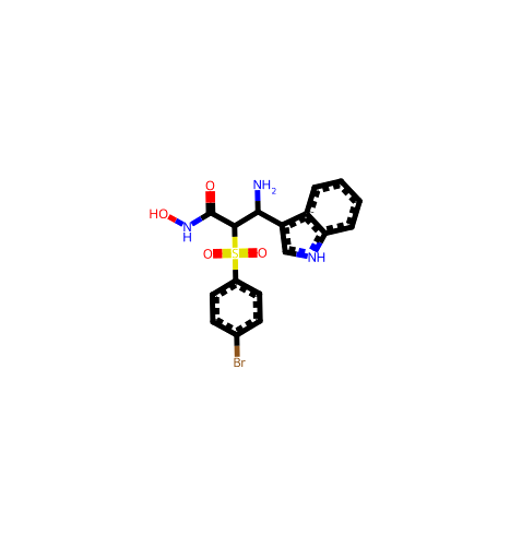 NC(c1c[nH]c2ccccc12)C(C(=O)NO)S(=O)(=O)c1ccc(Br)cc1